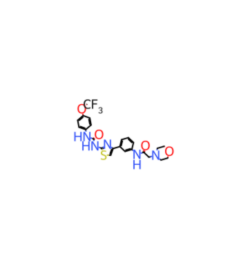 O=C(CN1CCOCC1)Nc1cccc(-c2csc(NC(=O)Nc3ccc(OC(F)(F)F)cc3)n2)c1